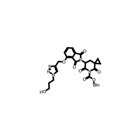 CC(C)(C)OC(=O)N1C(=O)C(N2C(=O)c3cccc(OCc4cn(CCCO)nn4)c3C2=O)CC2(CC2)C1=O